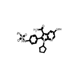 CSc1cnc2c(c1)c(C(N)=O)c(-c1ccc(NS(=O)(=O)C(C)C)cc1)n2C1CCCC1